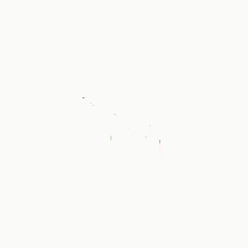 CN1CCN(c2ccc(C(=O)Cl)cc2)CC1.Cl